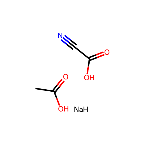 CC(=O)O.N#CC(=O)O.[NaH]